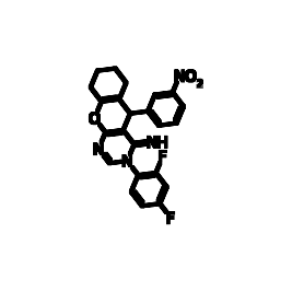 N=c1c2c(ncn1-c1ccc(F)cc1F)OC1=C(CCCC1)C2c1cccc([N+](=O)[O-])c1